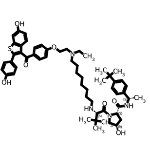 CCN(CCCCCCCCN[C@H](C(=O)N1C[C@H](O)C[C@H]1C(=O)N[C@@H](C)c1ccc(C(C)(C)C)cc1)C(C)(C)C)CCOc1ccc(C(=O)c2c(-c3ccc(O)cc3)sc3cc(O)ccc23)cc1